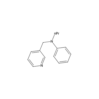 CCCN(Cc1cccnc1)c1ccccc1